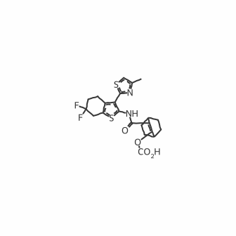 Cc1csc(-c2c(NC(=O)C3=C(OC(=O)O)C4CCC3CC4)sc3c2CCC(F)(F)C3)n1